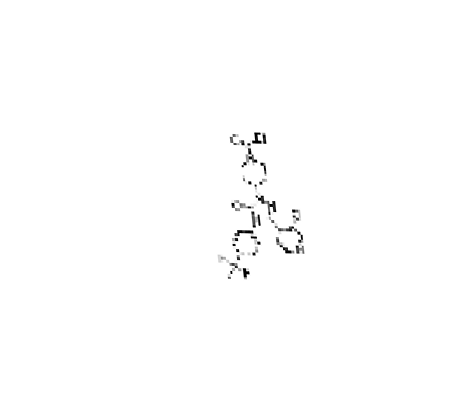 CCC(=O)N1CCC(n2nc(-c3ccncc3Cl)n(-c3ccc(C(C)(F)F)cc3)c2=O)CC1